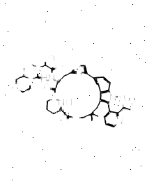 CCn1c(-c2cccnc2[C@H](C)OC)c2c3cc(ccc31)-c1csc(n1)C[C@H](NC(=O)C(C(C)C)N(C)C(=O)N1[C@H](C)COC[C@H]1C)C(=O)N1CCC[C@H](N1)C(=O)OCC(C)(C)C2